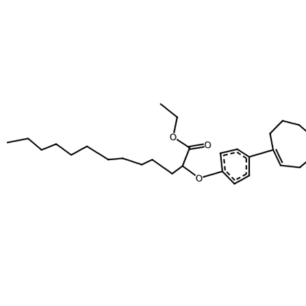 CCCCCCCCCCCC(Oc1ccc(C2=CCCCCCC2)cc1)C(=O)OCC